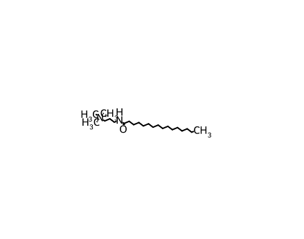 CCCCCCCCCCCCCCCC(=O)NCCC[N+](C)(C)C